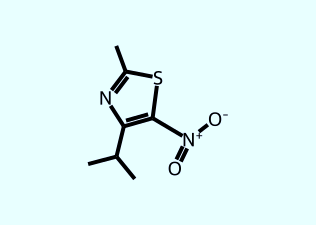 Cc1nc(C(C)C)c([N+](=O)[O-])s1